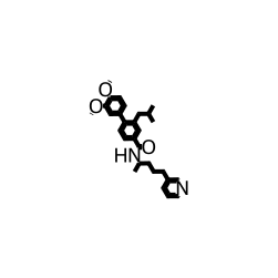 COc1ccc(-c2ccc(C(=O)NC(C)CCCc3cccnc3)cc2CC(C)C)cc1OC